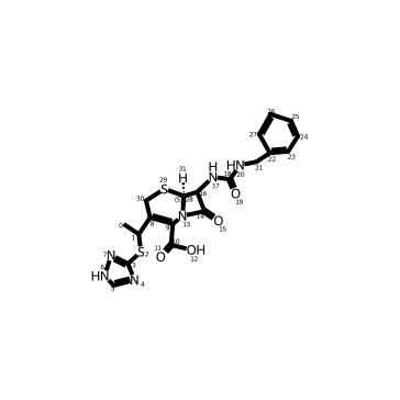 CC(Sc1nc[nH]n1)C1=C(C(=O)O)N2C(=O)C(NC(=O)NCc3ccccc3)[C@@H]2SC1